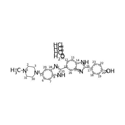 CN1CCN(c2ccc3[nH]c(-c4ccc5[nH]c(-c6ccc(O)cc6)nc5c4)nc3c2)CC1.Cl.Cl.Cl.O